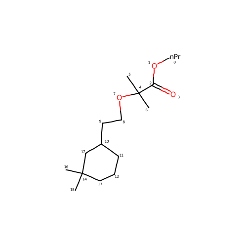 CCCOC(=O)C(C)(C)OCCC1CCCC(C)(C)C1